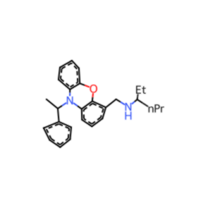 CCCC(CC)NCc1cccc2c1Oc1ccccc1N2C(C)c1ccccc1